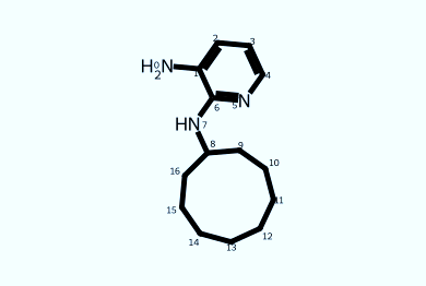 Nc1cccnc1NC1CCCCCCCC1